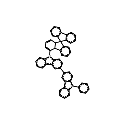 C1=CC2C(C(n3c4ccccc4c4cc(-c5ccc6c(c5)c5ccccc5n6-c5ccccc5)ccc43)=C1)c1ccccc1C21c2ccccc2-c2ccccc21